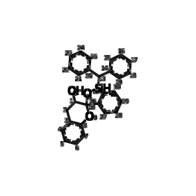 OC1Cc2ccccc2OC1(O[SiH2]C(c1ccccc1)c1ccccc1)c1ccccc1